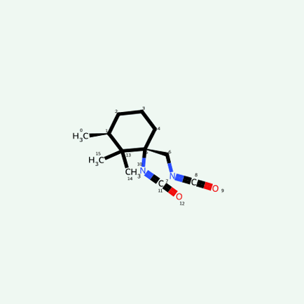 C[C@H]1CCC[C@](CN=C=O)(N=C=O)C1(C)C